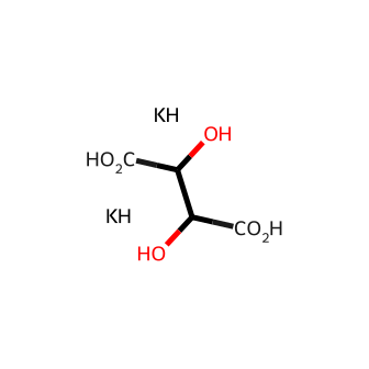 O=C(O)C(O)C(O)C(=O)O.[KH].[KH]